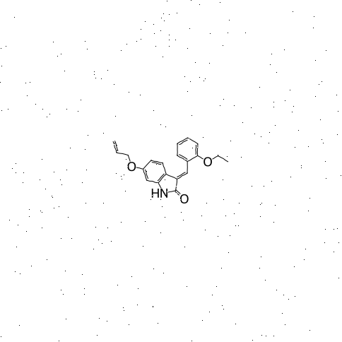 C=CCOc1ccc2c(c1)NC(=O)/C2=C/c1ccccc1OCC